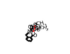 COC[C@@]12CO[C@H]([C@H](n3ccc4ccccc4c3=O)CO1)[C@@H]2OP(=O)(O)OC